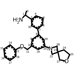 CC(N)c1cccc(-c2cc(COc3ccccc3)cc(N3CC4(CCOC4)C3)c2)c1